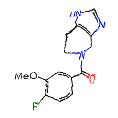 COc1cc(C(=O)N2CCc3[nH]cnc3C2)ccc1F